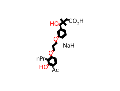 CCCc1c(OCCCOc2cccc(C(O)C(C)(C)CC(=O)O)c2)ccc(C(C)=O)c1O.[NaH]